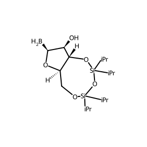 B[C@@H]1O[C@@H]2CO[Si](C(C)C)(C(C)C)O[Si](C(C)C)(C(C)C)O[C@H]2[C@@H]1O